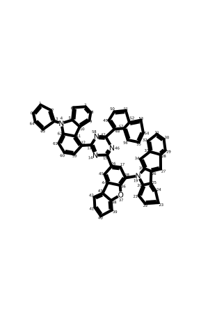 c1ccc(-n2c3ccccc3c3c(-c4nc(-c5cc(-n6c7ccccc7c7cc8ccccc8cc76)c6oc7ccccc7c6c5)nc(-c5cccc6ccccc56)n4)cccc32)cc1